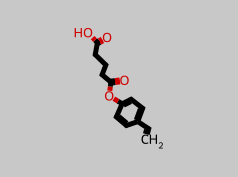 C=Cc1ccc(OC(=O)CCCC(=O)O)cc1